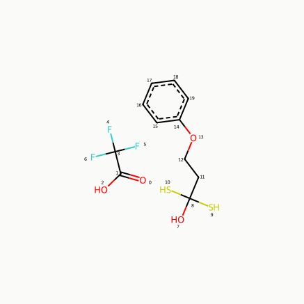 O=C(O)C(F)(F)F.OC(S)(S)CCOc1ccccc1